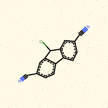 N#Cc1ccc2c(c1)C(Cl)c1cc(C#N)ccc1-2